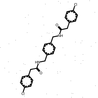 O=C(Cc1ccc(Cl)cc1)NCc1ccc(CNC(=O)Cc2ccc(Cl)cc2)cc1